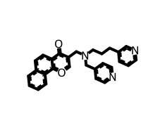 O=c1c(CN(CCCc2cccnc2)Cc2ccncc2)coc2c1ccc1ccccc12